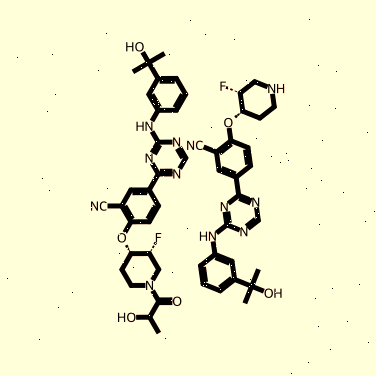 CC(C)(O)c1cccc(Nc2ncnc(-c3ccc(O[C@H]4CCNC[C@H]4F)c(C#N)c3)n2)c1.CC(O)C(=O)N1CC[C@H](Oc2ccc(-c3ncnc(Nc4cccc(C(C)(C)O)c4)n3)cc2C#N)[C@H](F)C1